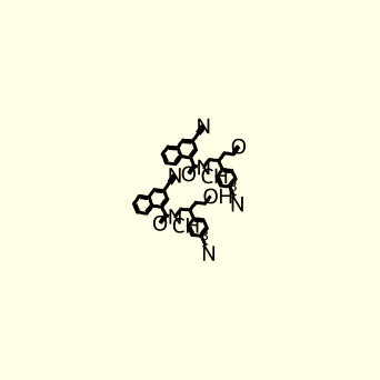 CN(CC(CC=O)c1ccc(C#N)cc1)C(=O)c1cc(C#N)cc2ccccc12.CN(CC(CCO)c1ccc(C#N)cc1)C(=O)c1cc(C#N)cc2ccccc12